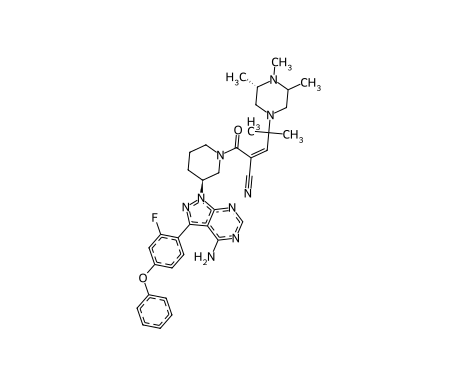 CC1CN(C(C)(C)/C=C(/C#N)C(=O)N2CCC[C@H](n3nc(-c4ccc(Oc5ccccc5)cc4F)c4c(N)ncnc43)C2)C[C@H](C)N1C